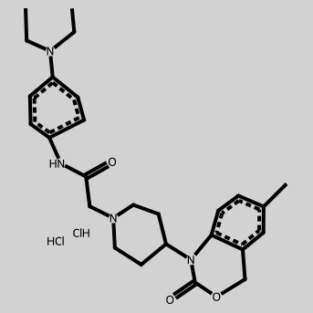 CCN(CC)c1ccc(NC(=O)CN2CCC(N3C(=O)OCc4cc(C)ccc43)CC2)cc1.Cl.Cl